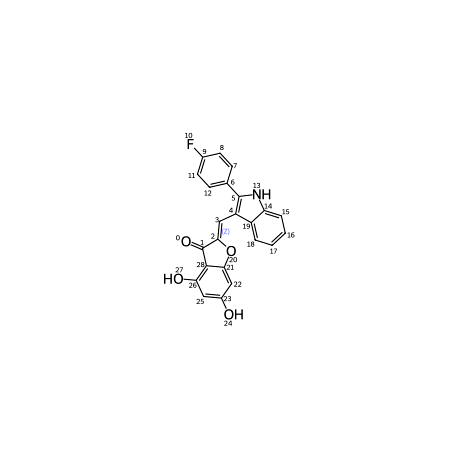 O=C1/C(=C/c2c(-c3ccc(F)cc3)[nH]c3ccccc23)Oc2cc(O)cc(O)c21